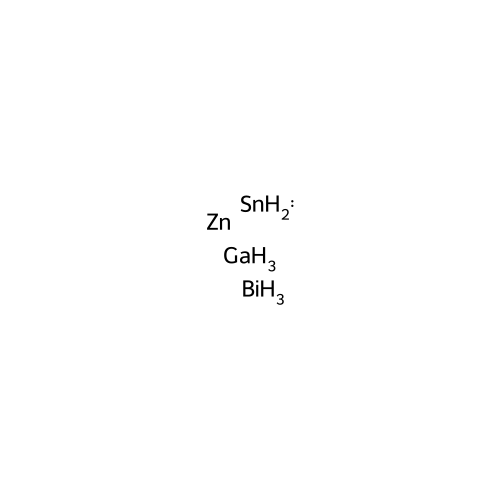 [BiH3].[GaH3].[SnH2].[Zn]